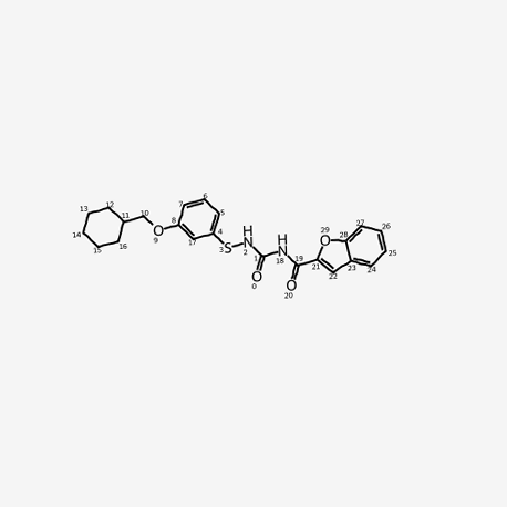 O=C(NSc1cccc(OCC2CCCCC2)c1)NC(=O)c1cc2ccccc2o1